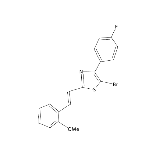 COc1ccccc1C=Cc1nc(-c2ccc(F)cc2)c(Br)s1